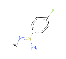 N#C/N=S(\N)c1ccc(F)cc1